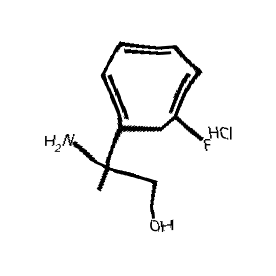 CC(N)(CO)c1ccccc1F.Cl